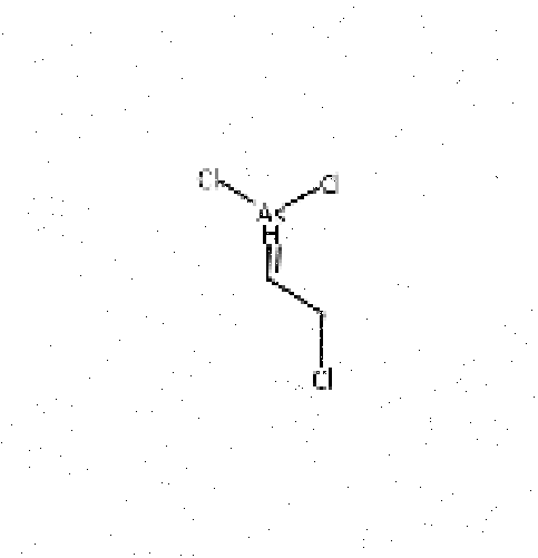 ClCC=[AsH](Cl)Cl